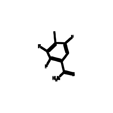 Cc1c(F)cc(C(N)=S)c(F)c1F